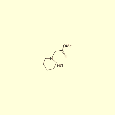 COC(=O)CN1CCCCC1.Cl